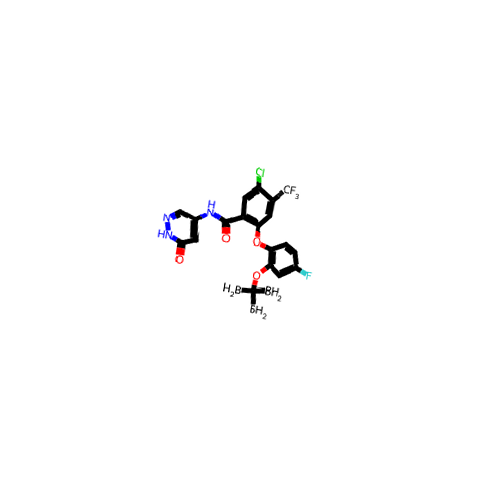 BC(B)(B)Oc1cc(F)ccc1Oc1cc(C(F)(F)F)c(Cl)cc1C(=O)Nc1cn[nH]c(=O)c1